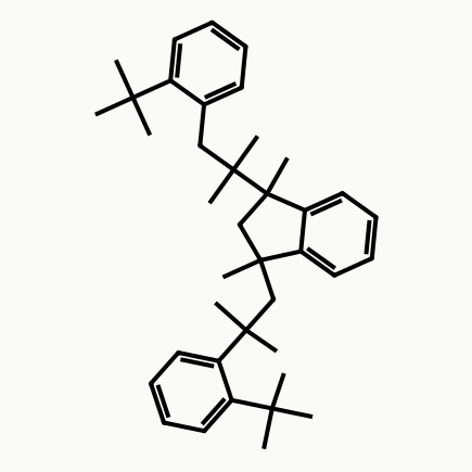 CC(C)(C)c1ccccc1CC(C)(C)C1(C)CC(C)(CC(C)(C)c2ccccc2C(C)(C)C)c2ccccc21